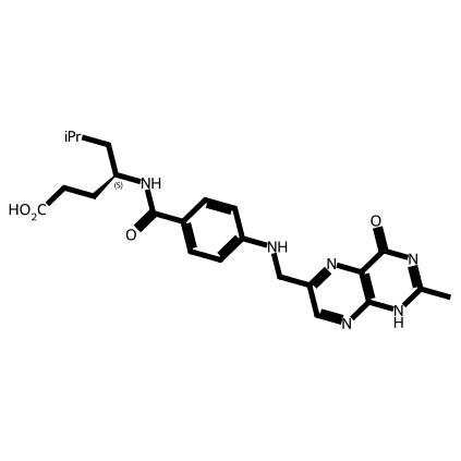 Cc1nc(=O)c2nc(CNc3ccc(C(=O)N[C@@H](CCC(=O)O)CC(C)C)cc3)cnc2[nH]1